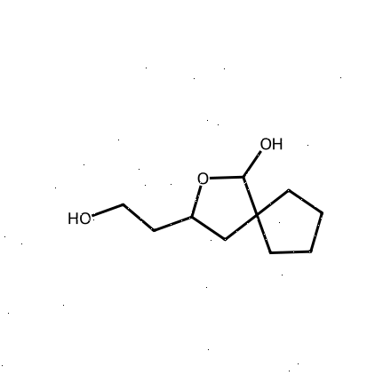 OCCC1CC2(CCCC2)C(O)O1